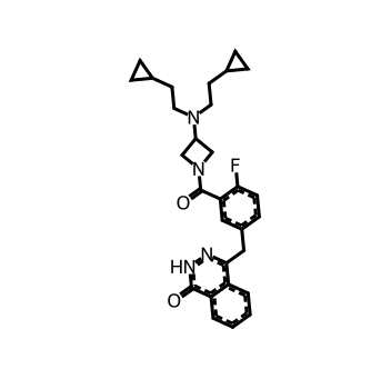 O=C(c1cc(Cc2n[nH]c(=O)c3ccccc23)ccc1F)N1CC(N(CCC2CC2)CCC2CC2)C1